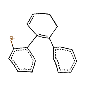 Sc1ccccc1C1=C(c2ccccc2)CCC=C1